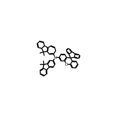 CC1(C)c2ccccc2-c2ccc(N(C3=CC4=C(C=CC3)C3C=CC=CC3C4(C)C)c3ccc4c(c3)Oc3ccccc3C43c4ccccc4-c4ccccc43)cc21